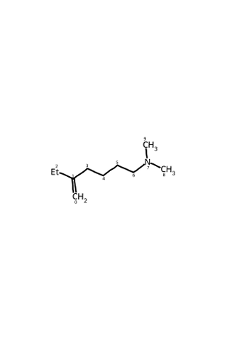 C=C(CC)CCCCN(C)C